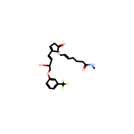 CNC(=O)CCCC=CC[C@H]1C(=O)CC=C1C=CC(O)COc1cccc(C(F)(F)F)c1